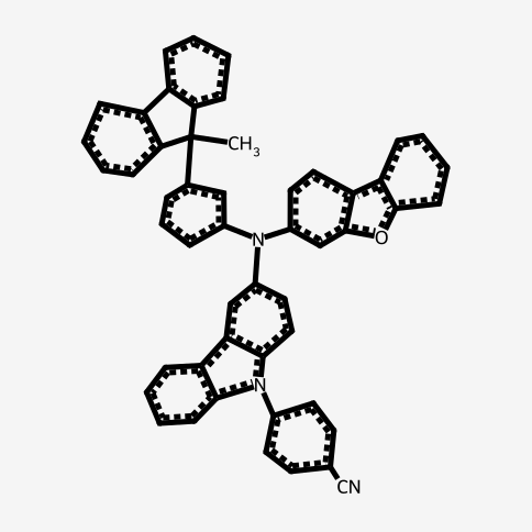 CC1(c2cccc(N(c3ccc4c(c3)oc3ccccc34)c3ccc4c(c3)c3ccccc3n4-c3ccc(C#N)cc3)c2)c2ccccc2-c2ccccc21